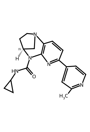 Cc1cc(-c2ccc3c(n2)N(C(=O)NC2CC2)[C@H]2CCN3C2)ccn1